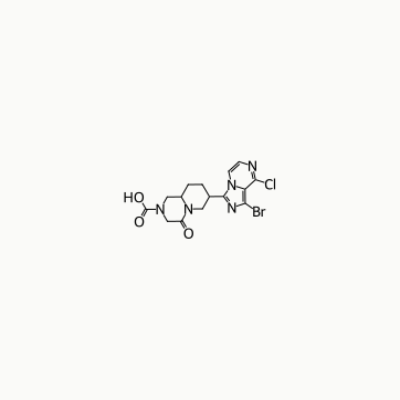 O=C(O)N1CC(=O)N2CC(c3nc(Br)c4c(Cl)nccn34)CCC2C1